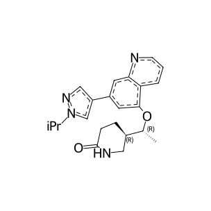 CC(C)n1cc(-c2cc(O[C@H](C)[C@@H]3CCC(=O)NC3)c3cccnc3c2)cn1